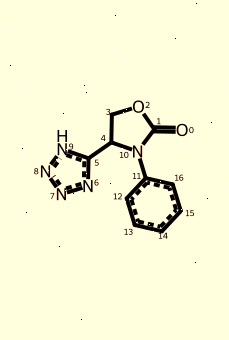 O=C1OCC(c2nnn[nH]2)N1c1ccccc1